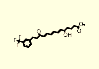 COC(=O)CCCC(O)C=CC=CC=CC(=O)CCc1cccc(C(F)(F)F)c1